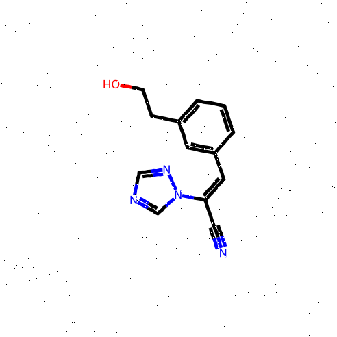 N#CC(=Cc1cccc(CCO)c1)n1cncn1